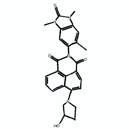 Cc1cc2c(cc1N1C(=O)c3cccc4c(N5CCC(O)C5)ccc(c34)C1=O)n(C)c(=O)n2C